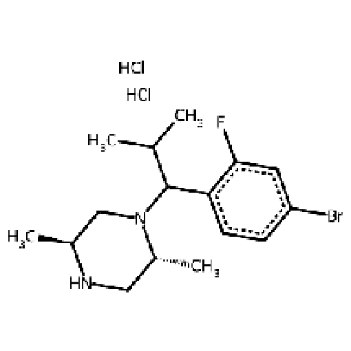 CC(C)C(c1ccc(Br)cc1F)N1C[C@H](C)NC[C@H]1C.Cl.Cl